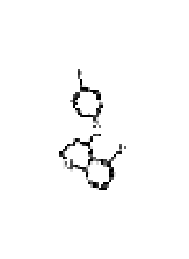 Fc1ccc(Oc2ccnc3cccc(Br)c23)cc1